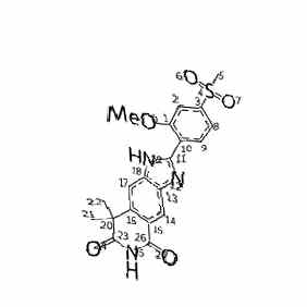 COc1cc(S(C)(=O)=O)ccc1-c1nc2cc3c(cc2[nH]1)C(C)(C)C(=O)NC3=O